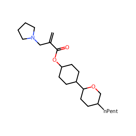 C=C(CN1CCCC1)C(=O)OC1CCC(C2CCC(CCCCC)CO2)CC1